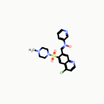 CN1CCN(S(=O)(=O)c2cc3c(Cl)ccnc3cc2/C=[N+](\[O-])c2cccnc2)CC1